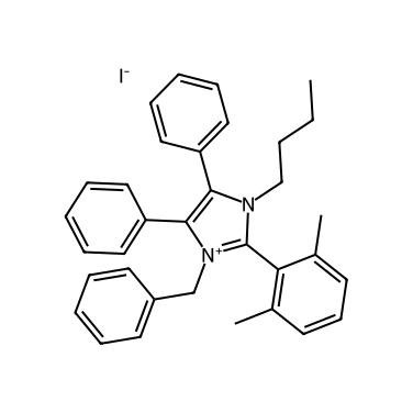 CCCCn1c(-c2ccccc2)c(-c2ccccc2)[n+](Cc2ccccc2)c1-c1c(C)cccc1C.[I-]